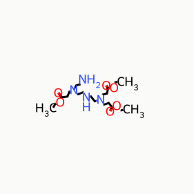 CCOC(=O)CCN(CCN)CCNCCN(CCC(=O)OCC)CCC(=O)OCC